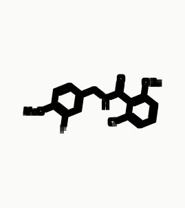 COc1ccc(CNC(=O)c2c(Cl)cccc2OCC(C)C)cc1F